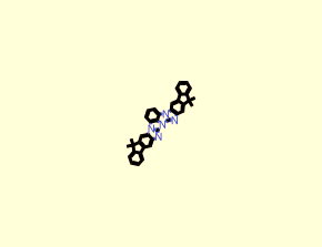 CC1(C)c2ccccc2-c2cc3c(cc21)nc1n3c2cccc3c2n1c1nc2cc4c(cc2n31)C(C)(C)c1ccccc1-4